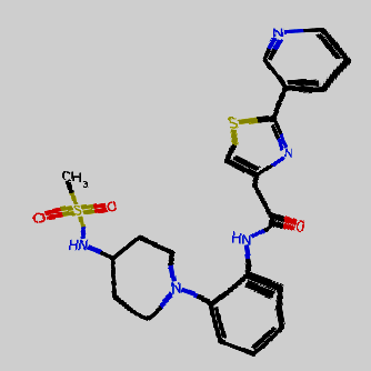 CS(=O)(=O)NC1CCN(c2ccccc2NC(=O)c2csc(-c3cccnc3)n2)CC1